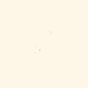 C=C(C)S/C=C/Cc1cc(C)c(C)cc1C